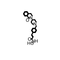 O=C(/C=C/c1ccc(CN2CCC(N3CCc4ccccc4C3=O)CC2)cc1)NO